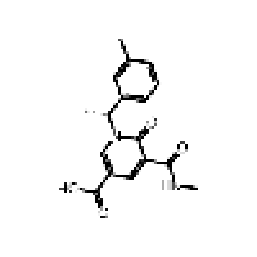 CNC(=O)c1cc(C(=O)O)cn([C@H](C)c2cccc(C)c2)c1=O